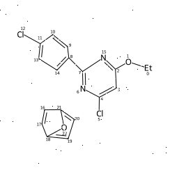 CCOc1cc(Cl)nc(-c2ccc(Cl)cc2)n1.c1cc2ccc1o2